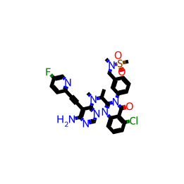 CC(c1nc2cccc(Cl)c2c(=O)n1-c1cccc(CN(C)S(C)(=O)=O)c1)N(C)c1ncnc(N)c1C#Cc1ccc(F)cn1